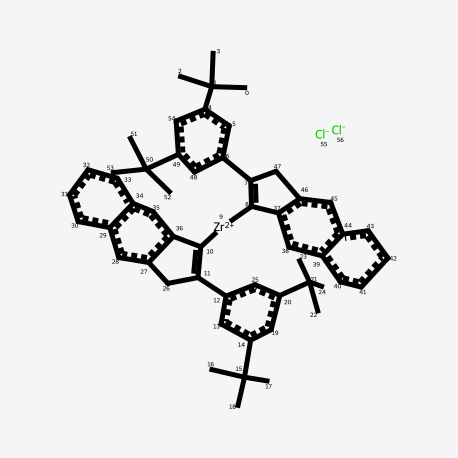 CC(C)(C)c1cc(C2=[C]([Zr+2][C]3=C(c4cc(C(C)(C)C)cc(C(C)(C)C)c4)Cc4cc5ccccc5cc43)c3cc4ccccc4cc3C2)cc(C(C)(C)C)c1.[Cl-].[Cl-]